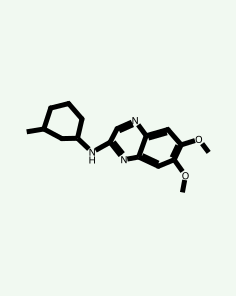 COc1cc2ncc(NC3CCCC(C)C3)nc2cc1OC